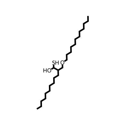 CCCCCCCCCCCCOCC(CCCCCCCCCC)C(O)S